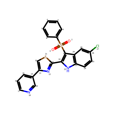 O=S(=O)(c1ccccc1)c1c(-c2nc(-c3cccnc3)cs2)[nH]c2ccc(Cl)cc12